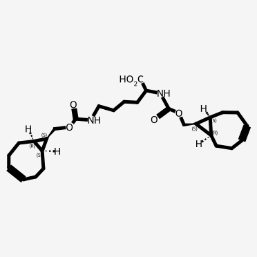 O=C(NCCCCC(NC(=O)OC[C@@H]1[C@@H]2CCC#CCC[C@@H]21)C(=O)O)OC[C@@H]1[C@@H]2CCC#CCC[C@@H]21